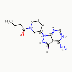 CCCC(=O)N1CCC[C@@H](n2nc(I)c3c(N)ncnc32)C1